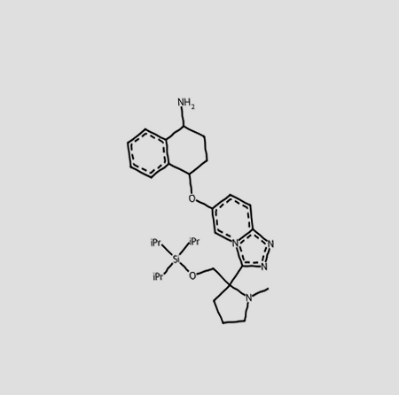 CC(C)[Si](OCC1(c2nnc3ccc(OC4CCC(N)c5ccccc54)cn23)CCCN1C)(C(C)C)C(C)C